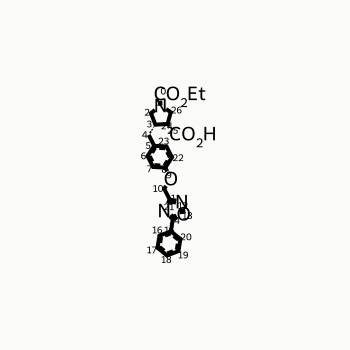 CCOC(=O)N1C[C@@H](Cc2ccc(OCc3noc(-c4ccccc4)n3)cc2)[C@H](C(=O)O)C1